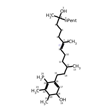 CCCCCC(C)(O)CCC/C(C)=C/CCC(C)CCC1=CC(O)C(C)C(C)=C1P